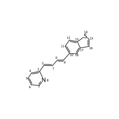 C(C=Cc1ccccn1)=Cc1ccc2sccc2c1